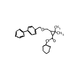 CC1(C)C(COCc2ccc(-c3ccccc3)cc2)C1C(=O)OC1CCCCC1